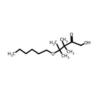 CCCCCCOC(C)(C)C(C)(C)C(=O)CO